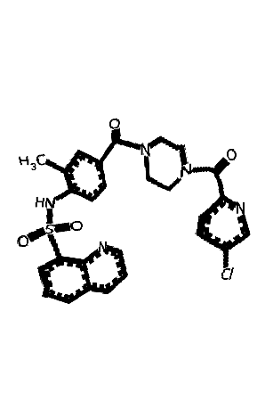 Cc1cc(C(=O)N2CCN(C(=O)c3ccc(Cl)cn3)CC2)ccc1NS(=O)(=O)c1cccc2cccnc12